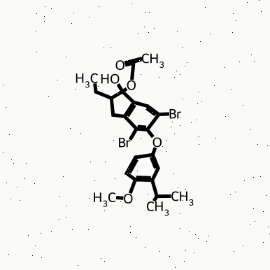 CCC1Cc2c(cc(Br)c(Oc3ccc(OC)c(C(C)C)c3)c2Br)C1(O)OC(C)=O